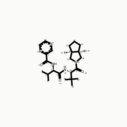 CC(C)[C@@H](NC(=O)c1cnccn1)C(=O)N[C@H](C(=O)N1C[C@H]2CCC[C@H]2C1)C(C)(C)C